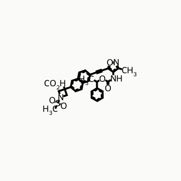 Cc1noc(C#Cc2ccc3cc(C4(C(=O)O)CN(S(C)(=O)=O)C4)ccc3c2)c1NC(=O)OC(C)c1ccccc1